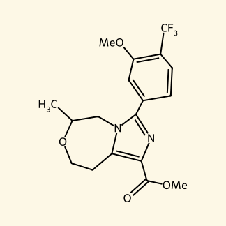 COC(=O)c1nc(-c2ccc(C(F)(F)F)c(OC)c2)n2c1CCOC(C)C2